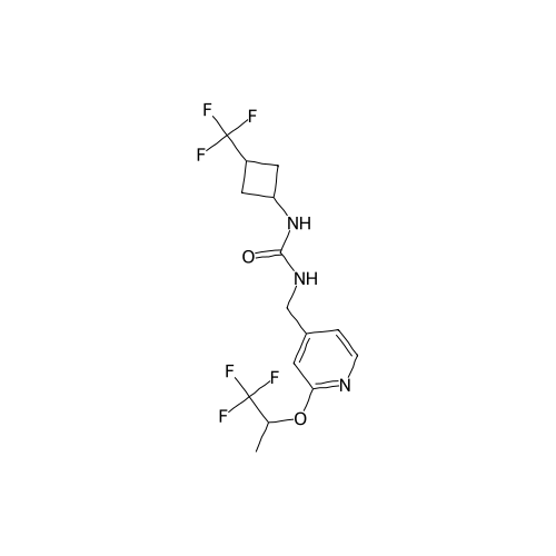 CC(Oc1cc(CNC(=O)NC2CC(C(F)(F)F)C2)ccn1)C(F)(F)F